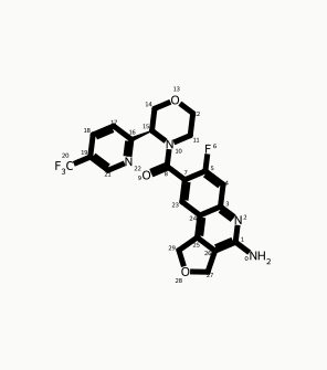 Nc1nc2cc(F)c(C(=O)N3CCOC[C@@H]3c3ccc(C(F)(F)F)cn3)cc2c2c1COC2